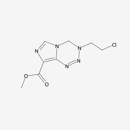 COC(=O)c1ncn2c1N=NN(CCCl)C2